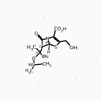 C[SiH](C)O[C@](C)([C@H]1C(=O)N2C(C(=O)O)=C(CO)S[C@H]12)C(C)(C)C